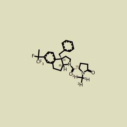 [2H]C([2H])([2H])N1C(=O)CC[C@H]1C(=O)N1CC[C@@]2(Cc3ccccc3)c3ccc(C(C)(F)C(F)(F)F)cc3CC[C@@H]12